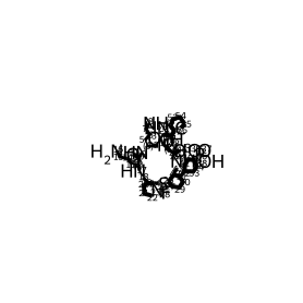 CN1C(=O)[C@H](CCCN)NC(=O)[C@H](CCCN)NCc2cccnc2Sc2c(F)ccc(-c3ccc(P(=O)(O)O)cc3)c2CNC(=O)[C@@H]1Cc1c[nH]c2ccccc12